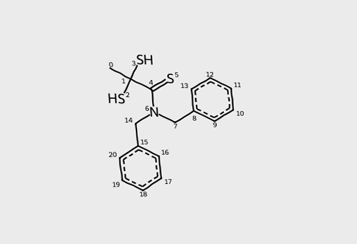 CC(S)(S)C(=S)N(Cc1ccccc1)Cc1ccccc1